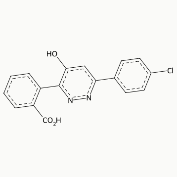 O=C(O)c1ccccc1-c1nnc(-c2ccc(Cl)cc2)cc1O